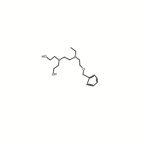 CCN(CCOCc1ccccc1)CCN(CCO)CCO